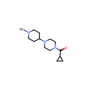 CC(C)N1CCC(N2CCN(C(=O)C3CC3)CC2)CC1